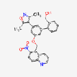 Cc1noc(C)c1-c1cc(OCc2c([N+](=O)[O-])ccc3ncccc23)cc(-c2ccccc2CO)c1